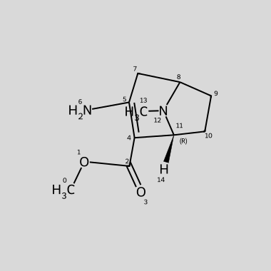 COC(=O)C1=C(N)CC2CC[C@H]1N2C